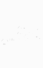 CCC(C)(C)C(=O)O[C@H]1C[C@H](CNCc2ccccc2)C=C2C=C[C@H](C)[C@H](CC[C@@H]3C[C@@H](O)CC(=O)O3)[C@H]21